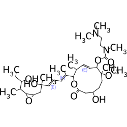 CCC(O)C(C)C1OC1CC(C)(O)/C=C/C=C(\C)C1OC(=O)CC(O)CCC(C)(OC)C(OC(=O)N(C)CCN(C)C)/C=C/C1C